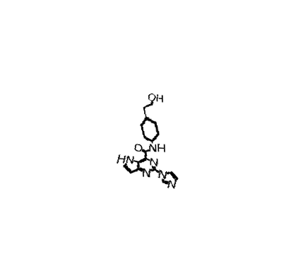 O=C(N[C@H]1CC[C@H](CCO)CC1)c1nc(-n2ccnc2)nc2cc[nH]c12